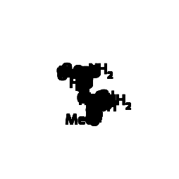 C=CC1=C(C(=C)N)C(=O)c2c(O)c3c(c(O)c2C1=O)C[C@@](O)(C(=O)N1CCN(C(=O)OCc2ccc(NC(=O)[C@H](CCCNC(N)=O)NC(=O)[C@@H](NC(=O)CCCCCN4C(=O)C=CC4=O)C(C)C)cc2)CC1)C[C@@H]3OC1C[C@H]2[C@H](O[C@@H]3[C@@H](OC)OCCN32)[C@H](C)O1